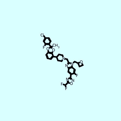 CC1(c2ccc(Cl)cc2F)Oc2cccc(C3CCN(Cc4nc5cc(-c6noc(C(F)F)n6)c(F)cc5n4CC4CCO4)CC3)c2O1